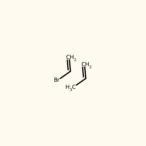 C=CBr.C=CC